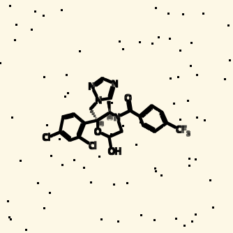 C[C@H]1N(C(=O)c2ccc(C(F)(F)F)cc2)CC(O)O[C@@]1(Cn1cncn1)c1ccc(Cl)cc1Cl